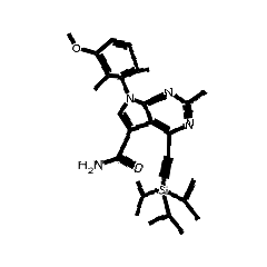 COc1ccc(C)c(-n2cc(C(N)=O)c3c(C#C[Si](C(C)C)(C(C)C)C(C)C)nc(C)nc32)c1C